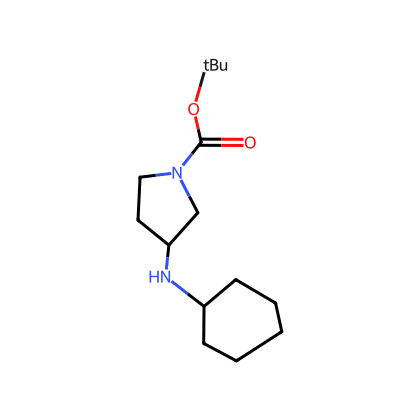 CC(C)(C)OC(=O)N1CCC(NC2CCCCC2)C1